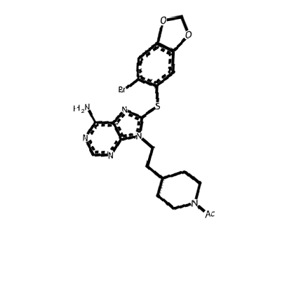 CC(=O)N1CCC(CCn2c(Sc3cc4c(cc3Br)OCO4)nc3c(N)ncnc32)CC1